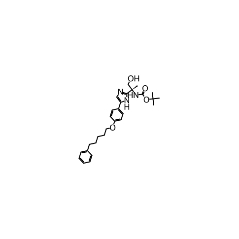 CC(C)(C)OC(=O)N[C@@](C)(CO)c1ncc(-c2ccc(OCCCCCc3ccccc3)cc2)[nH]1